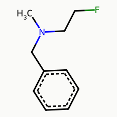 CN(CCF)Cc1ccccc1